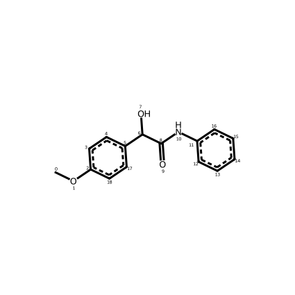 COc1ccc(C(O)C(=O)Nc2ccccc2)cc1